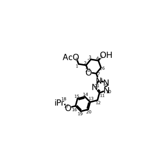 CC(=O)OCC1[CH]C(O)[CH]C(n2nnc(Cc3ccc(OC(C)C)cc3)n2)O1